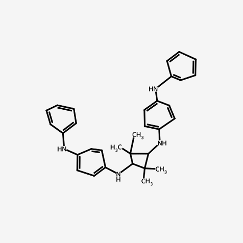 CC1(C)C(Nc2ccc(Nc3ccccc3)cc2)C(C)(C)C1Nc1ccc(Nc2ccccc2)cc1